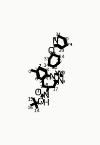 Cc1ccc2c(c1)CC(NC(=O)OC(C)(C)C)Cc1nnc([C@H]3CC[C@H](Oc4ccccn4)CC3)n1-2